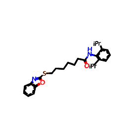 CC(C)c1cccc(C(C)C)c1NC(=O)CCCCCCSc1nc2ccccc2o1